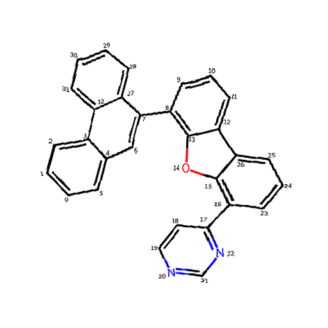 c1ccc2c(c1)cc(-c1cccc3c1oc1c(-c4ccncn4)cccc13)c1ccccc12